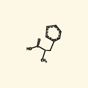 CC(Cc1ccccc1)S(=O)O